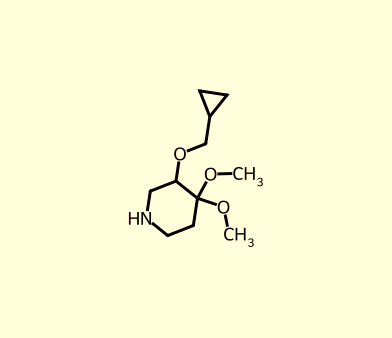 COC1(OC)CCNCC1OCC1CC1